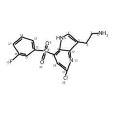 NCCc1c[nH]c2c(S(=O)(=O)c3cccc(F)c3)cc(Cl)nc12